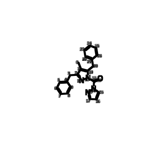 Cc1c(Cc2ccccc2)nn(C(=O)n2cccn2)c1Cc1ccccc1